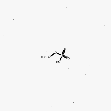 O.O=S(=O)(O)OCl